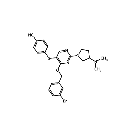 CN(C)C1CCN(c2ncc(Sc3ccc(C#N)cc3)c(OCc3cccc(Br)c3)n2)C1